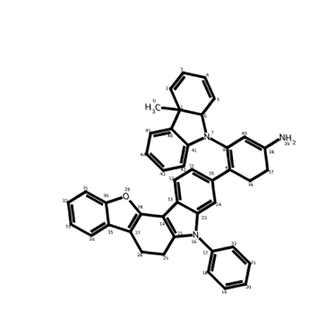 CC12C=CC=CC1N(C1=C(c3ccc4c5c(n(-c6ccccc6)c4c3)CCc3c-5oc4ccccc34)CCC(N)=C1)c1ccccc12